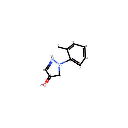 Cc1ccccc1N1CC(=O)C=N1